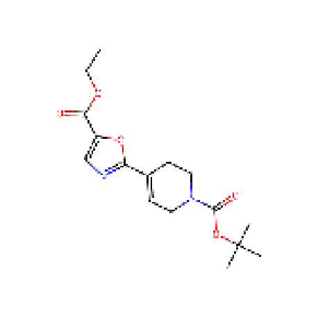 CCOC(=O)c1cnc(C2=CCN(C(=O)OC(C)(C)C)CC2)o1